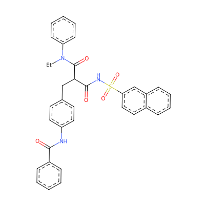 CCN(C(=O)C(Cc1ccc(NC(=O)c2ccccc2)cc1)C(=O)NS(=O)(=O)c1ccc2ccccc2c1)c1ccccc1